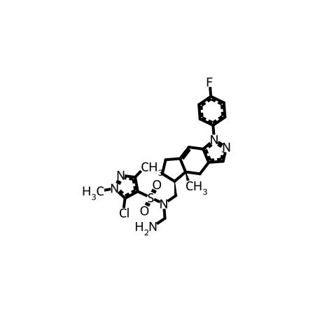 Cc1nn(C)c(Cl)c1S(=O)(=O)N(CN)C[C@H]1CCC2=Cc3c(cnn3-c3ccc(F)cc3)C[C@@]21C